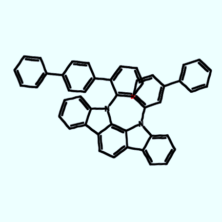 c1ccc(-c2ccc(-c3ccccc3-n3c4ccccc4c4ccc5c6ccccc6n(-c6cccc(-c7ccccc7)c6)c5c43)cc2)cc1